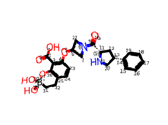 O=C(O)c1c(OC2CN(C(=O)[C@@H]3C[C@H](c4ccccc4)CN3)C2)ccc2c1O[B-](O)(O)CC2